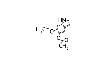 CCOc1cc2[nH]ccc2cc1OC(C)=O